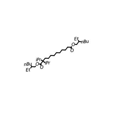 CCCCC(CC)COC(=O)CCCCCCCCCC(C(=O)OCC(CC)CCCC)(C(C)C)C(C)C